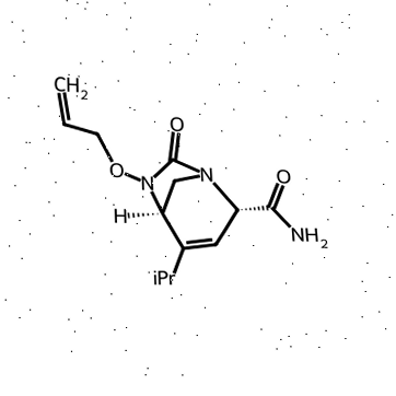 C=CCON1C(=O)N2C[C@H]1C(C(C)C)=C[C@H]2C(N)=O